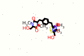 CN1C(=O)C2(Cc3ccc(CC45SSC(CO)(C(=O)N4C)N(C)C5=O)cc3)SSC1(CO)C(=O)N2C